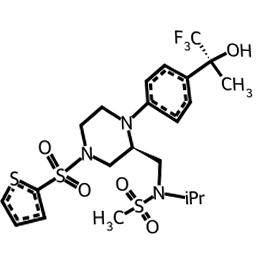 CC(C)N(C[C@H]1CN(S(=O)(=O)c2cccs2)CCN1c1ccc([C@](C)(O)C(F)(F)F)cc1)S(C)(=O)=O